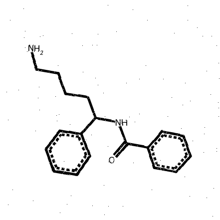 NCCCCC(NC(=O)c1ccccc1)c1ccccc1